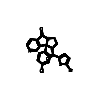 O=C(c1ccc(Br)s1)N1CCN2C(=O)c3ccncc3C12c1ccc(Cl)cc1